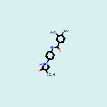 CC(=O)Oc1ccc(C(=O)Nc2ccc(-n3cc(C(=O)O)c(=O)[nH]3)cc2)cc1OC(C)=O